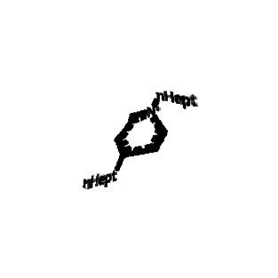 CCCCCCCc1cc[n+](CCCCCCC)cc1